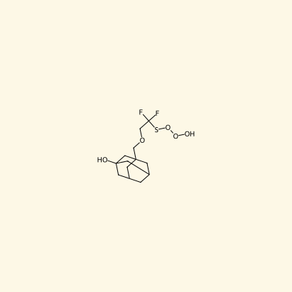 OOOSC(F)(F)COCC12CC3CC(CC(O)(C3)C1)C2